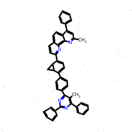 Cc1cc(-c2ccccc2)c2ccc3ccc(C4=CC=C(c5ccc(-c6nc(-c7ccccc7)nc(-c7ccccc7)c6C)cc5)C5CC45)nc3c2n1